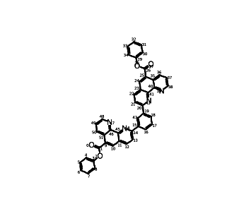 O=C(Oc1ccccc1)c1cc2ccc(-c3cccc(-c4ccc5cc(C(=O)Oc6ccccc6)c6cccnc6c5n4)c3)nc2c2ncccc12